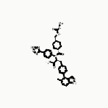 Cc1ccc2[nH]ncc2c1-c1ccc(C[C@@H](C(N)=O)N(c2ccc(-c3nn[nH]n3)cc2)C(=O)[C@H]2CC[C@H](CNC(=O)OC(C)(C)C)CC2)cc1